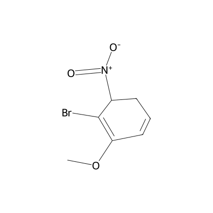 COC1=C(Br)C([N+](=O)[O-])CC=C1